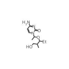 CCC(OC(C)n1ccc(N)nc1=O)C(C)CO